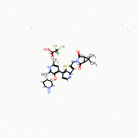 Cc1nc(C(F)(F)F)cc(-c2ccnc3cc(CN4C(=O)C5C(C4=O)C5(C)C)sc23)c1O[C@H]1CCCNC1.O=C(O)C(F)(F)F